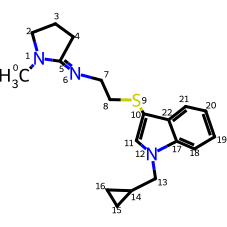 CN1CCC/C1=N\CCSc1cn(CC2CC2)c2ccccc12